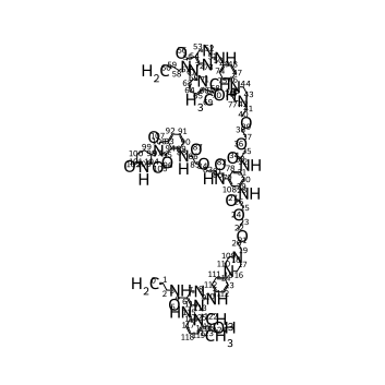 C=CCNC(=O)c1cnc(Nc2ccc(N3CCN(CCOCCOCC(=O)Nc4cc(NC(=O)COCCOCCN5CCN(c6ccc(Nc7ncc8c(=O)n(CC=C)n(-c9cccc(C(C)(C)O)n9)c8n7)cc6)CC5)cc(NC(=O)COCC(=O)Nc5cccc6c5C(=O)N(C5CCC(=O)NC5=O)C6=O)c4)CC3)cc2)nc1Nc1cccc(C(C)(C)O)n1